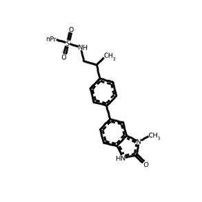 CCCS(=O)(=O)NCC(C)c1ccc(-c2ccc3[nH]c(=O)n(C)c3c2)cc1